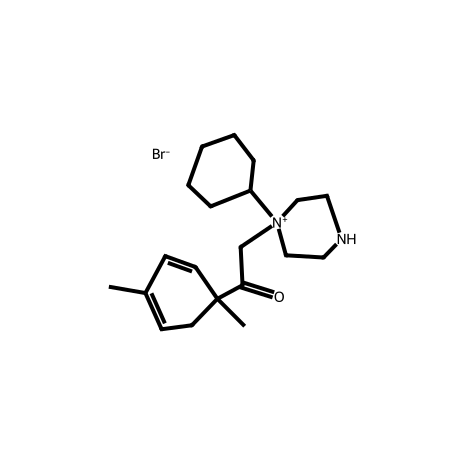 CC1=CCC(C)(C(=O)C[N+]2(C3CCCCC3)CCNCC2)C=C1.[Br-]